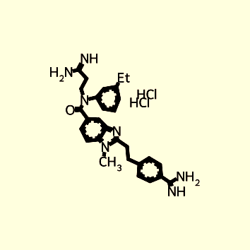 CCc1cccc(N(CCC(=N)N)C(=O)c2ccc3c(c2)nc(CCc2ccc(C(=N)N)cc2)n3C)c1.Cl.Cl